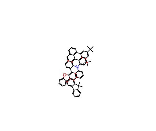 CC(C)(C)c1cc(-c2cccc3cccc(-c4ccccc4N(c4cccc(-c5cccc6c5C(C)(C)c5ccccc5-6)c4)c4ccccc4-c4cccc5c4oc4ccccc45)c23)cc(C(C)(C)C)c1